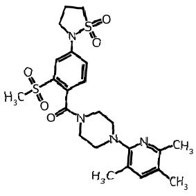 Cc1cc(C)c(N2CCN(C(=O)c3ccc(N4CCCS4(=O)=O)cc3S(C)(=O)=O)CC2)nc1C